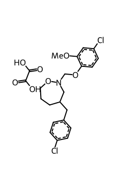 COc1cc(Cl)ccc1OCN1CC(Cc2ccc(Cl)cc2)CCCO1.O=C(O)C(=O)O